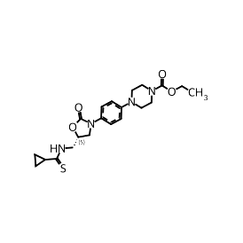 CCOC(=O)N1CCN(c2ccc(N3C[C@H](CNC(=S)C4CC4)OC3=O)cc2)CC1